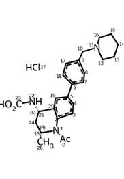 CC(=O)N1c2ccc(-c3ccc(CN4CCCCC4)cc3)cc2[C@@H](NC(=O)O)C[C@H]1C.Cl